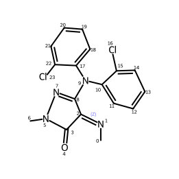 C/N=C1\C(=O)N(C)N=C1N(c1ccccc1Cl)c1ccccc1Cl